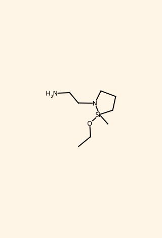 CCO[Si]1(C)CCCN1CCN